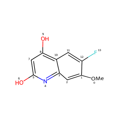 COc1cc2nc(O)cc(O)c2cc1F